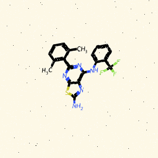 Cc1cccc(C)c1-c1nc(Nc2ccccc2C(F)(F)F)c2nc(N)sc2n1